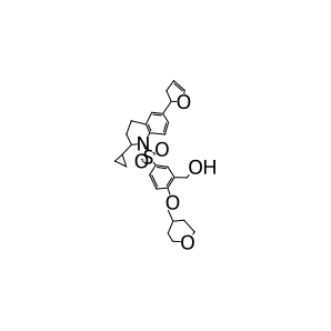 O=S(=O)(c1ccc(OCC2CCOCC2)c(CO)c1)N1c2ccc(C3CC=CO3)cc2CCC1C1CC1